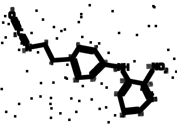 O=C=NCCc1ccc(Nc2ccccc2[N+](=O)[O-])cc1